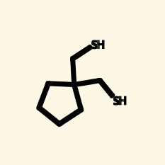 SCC1(CS)CCCC1